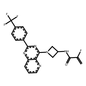 C=C(F)C(=O)NC1CN(c2nc(-c3ccc(C(F)(F)F)cc3)nc3cccnc23)C1